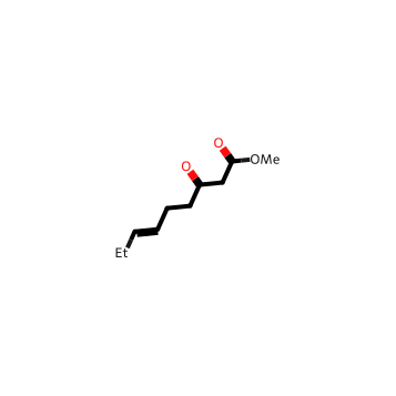 CCC=CCCC(=O)CC(=O)OC